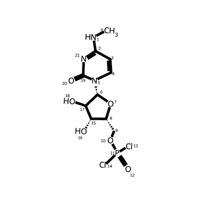 CNc1ccn([C@@H]2O[C@H](COP(=O)(Cl)Cl)[C@H](O)C2O)c(=O)n1